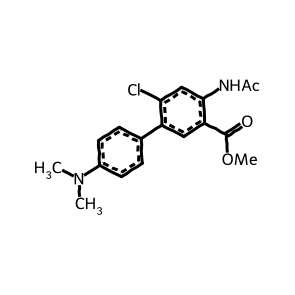 COC(=O)c1cc(-c2ccc(N(C)C)cc2)c(Cl)cc1NC(C)=O